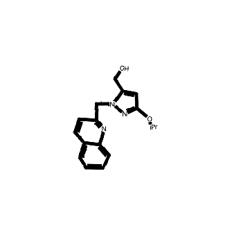 CC(C)Oc1cc(CO)n(Cc2ccc3ccccc3n2)n1